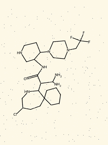 NC(N)C(C(=O)NC1CNCCC1N1CCN(CC(F)(F)F)CC1)C1NCC(Cl)CCC12CCCCC2